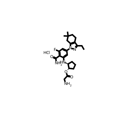 CCc1nn(-c2cc(F)c(C(N)=O)c(N[C@H]3CCC[C@@H]3OC(=O)CN)c2)c2c1CCC(C)(C)C2.Cl